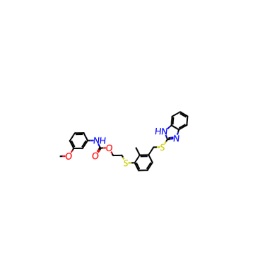 COc1cccc(NC(=O)OCCSc2cccc(CSc3nc4ccccc4[nH]3)c2C)c1